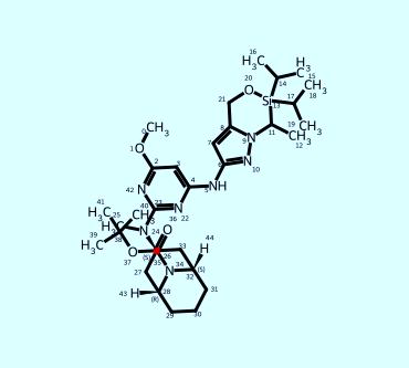 COc1cc(Nc2cc3n(n2)C(C)[Si](C(C)C)(C(C)C)OC3)nc(N(C)[C@@H]2C[C@H]3CCC[C@@H](C2)N3C(=O)OC(C)(C)C)n1